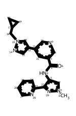 Cn1cc(NC(=O)c2cncc(-c3cnn(CC4CC4)c3)c2)c(-c2ccccn2)n1